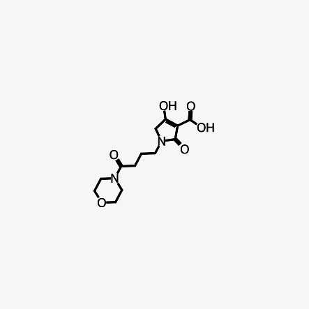 O=C(O)C1=C(O)CN(CCCC(=O)N2CCOCC2)C1=O